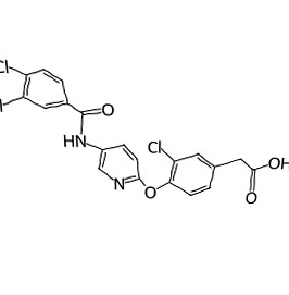 O=C(O)Cc1ccc(Oc2ccc(NC(=O)c3ccc(Cl)c(Cl)c3)cn2)c(Cl)c1